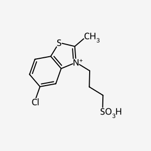 Cc1sc2ccc(Cl)cc2[n+]1CCCS(=O)(=O)O